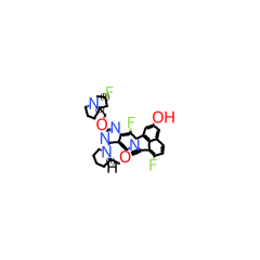 C#Cc1c(F)ccc2cc(O)cc(-c3nc4c5c(nc(OC[C@@]67CCCN6C[C@H](F)C7)nc5c3F)N3CCCC[C@@H]3CO4)c12